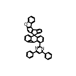 c1ccc(-c2cc(-c3ccccc3)nc(-c3cccc4c3C3c5cccc(c53)C43c4ccccc4-c4c3ccc3oc5ccccc5c43)n2)cc1